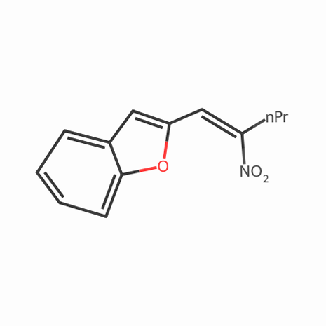 CCCC(=Cc1cc2ccccc2o1)[N+](=O)[O-]